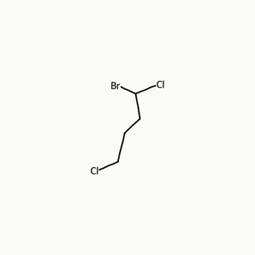 ClCCCC(Cl)Br